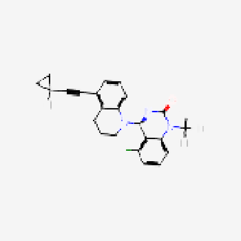 [2H]C([2H])([2H])n1c(=O)nc(N2CCCc3c(C#CC4(C(F)(F)F)CC4)cccc32)c2c(F)cccc21